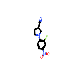 N#CC1CCN(c2ccc([N+](=O)[O-])cc2F)C1